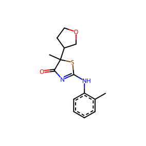 Cc1ccccc1NC1=NC(=O)C(C)(C2CCOC2)S1